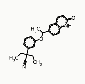 CCC(C#N)(CC)c1cccc(OC(C)c2ccc3[nH]c(=O)ccc3c2)c1